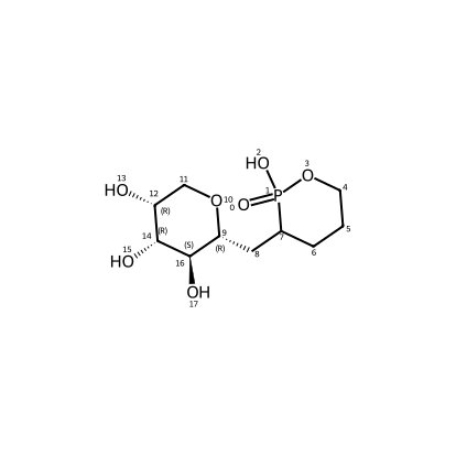 O=P1(O)OCCCC1C[C@H]1OC[C@@H](O)[C@@H](O)[C@@H]1O